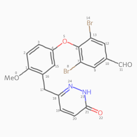 COc1ccc(Oc2c(Br)cc(C=O)cc2Br)cc1Cc1ccc(=O)[nH]n1